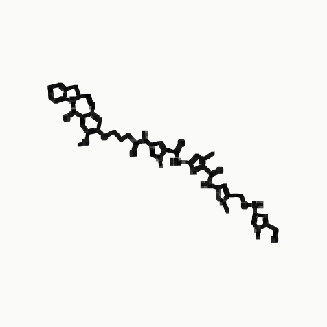 COc1cc2c(cc1OCCCC(=O)Nc1cc(C(=O)Nc3cn(C)c(C(=O)Nc4cc(CONc5cc(C=O)n(C)c5)n(C)c4)n3)n(C)c1)N=CC1Cc3ccccc3N1C2=O